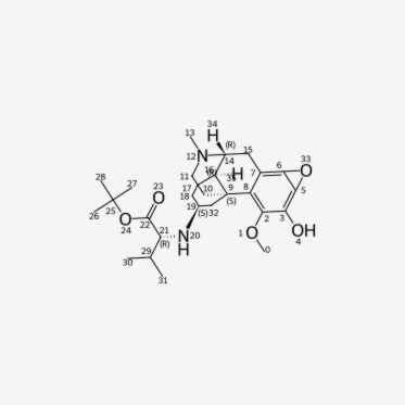 COc1c(O)c2c(c3c1[C@]14CCN(C)[C@H](C3)[C@@H]1CC[C@H](N[C@@H](C(=O)OC(C)(C)C)C(C)C)C4)O2